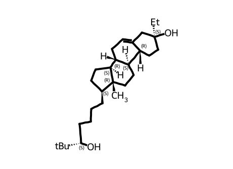 CC[C@]1(O)CC[C@H]2C(=CC[C@@H]3[C@@H]2CC[C@]2(C)[C@@H](CCCC[C@H](O)C(C)(C)C)CC[C@@H]32)C1